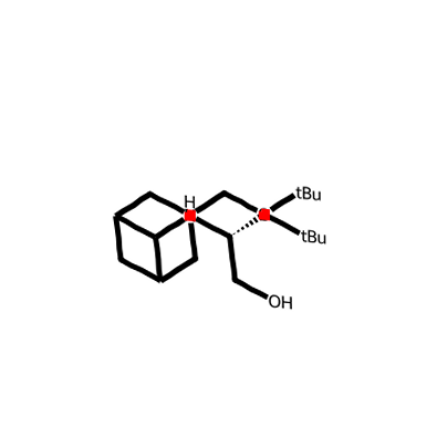 CC(C)(C)C[C@H](CO)NC1C2CC1CN(COC(C)(C)C)C2